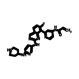 C=CC(=O)Nc1ccnc(-c2c(F)ccc3cnc(Nc4ccc(NC5CCNCC5)nc4)nc23)c1